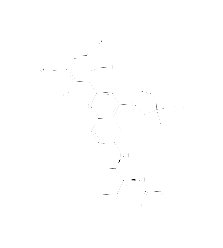 C=CC(=O)N[C@H]1CCOC[C@H]1Nc1cc2c(N3CCC(C)(OC)C3)nc(-c3c(Cl)c(OC)cc(OC)c3Cl)nc2cn1